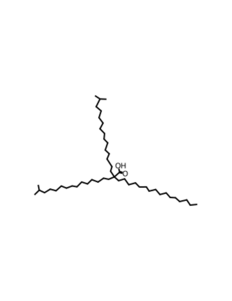 CCCCCCCCCCCCCCCCC(CCCCCCCCCCCCCC(C)C)(CCCCCCCCCCCCCC(C)C)C(=O)O